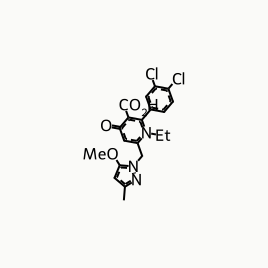 CCn1c(Cn2nc(C)cc2OC)cc(=O)c(C(=O)O)c1-c1ccc(Cl)c(Cl)c1